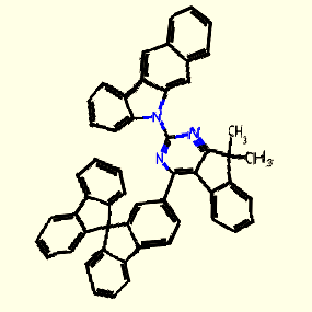 CC1(C)c2ccccc2-c2c(-c3ccc4c(c3)C3(c5ccccc5-c5ccccc53)c3ccccc3-4)nc(-n3c4ccccc4c4cc5ccccc5cc43)nc21